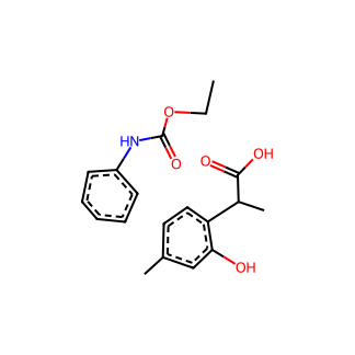 CCOC(=O)Nc1ccccc1.Cc1ccc(C(C)C(=O)O)c(O)c1